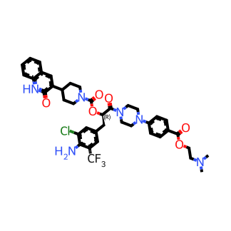 CN(C)CCOC(=O)c1ccc(N2CCN(C(=O)[C@@H](Cc3cc(Cl)c(N)c(C(F)(F)F)c3)OC(=O)N3CCC(c4cc5ccccc5[nH]c4=O)CC3)CC2)cc1